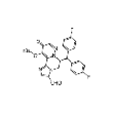 CCCCOc1c2n(ncc1=O)[C@@H](C(c1ccc(F)cc1)c1ccc(F)cc1)Cn1c(C=O)cnc1-2